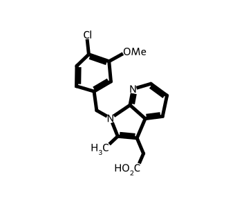 COc1cc(Cn2c(C)c(CC(=O)O)c3cccnc32)ccc1Cl